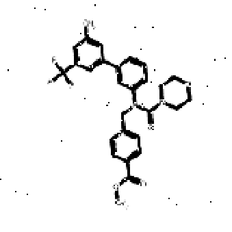 COC(=O)c1ccc(CN(C(=O)N2CCOCC2)c2cccc(-c3cc(C)cc(C(F)(F)F)c3)c2)cc1